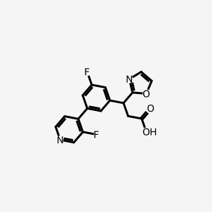 O=C(O)CC(c1cc(F)cc(-c2ccncc2F)c1)c1ncco1